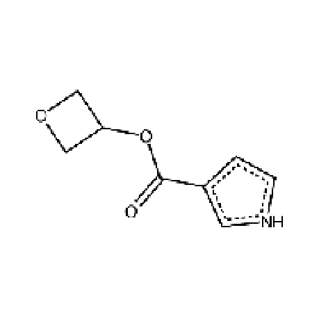 O=C(OC1COC1)c1cc[nH]c1